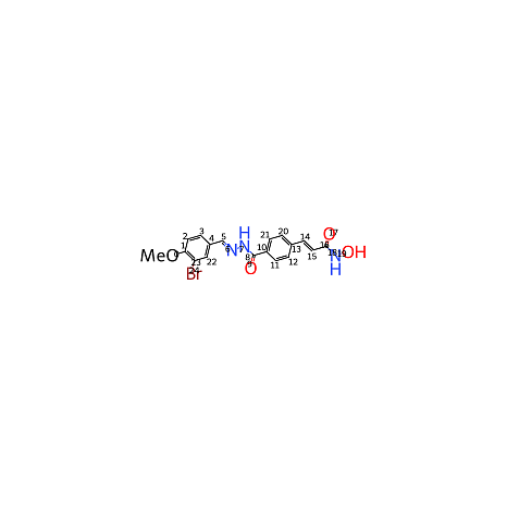 COc1ccc(/C=N/NC(=O)c2ccc(/C=C/C(=O)NO)cc2)cc1Br